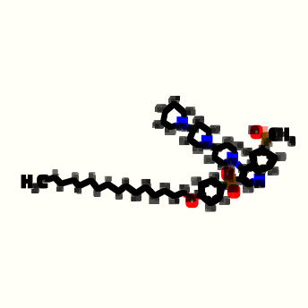 CCCCCCCCCCCCCCCCOc1ccc(S(=O)(=O)c2cnc3ccc([S+](C)[O-])cc3c2N2CCC(N3CCC(N4CCCCC4)CC3)CC2)cc1